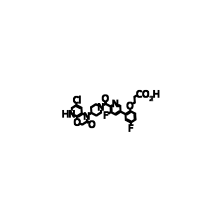 O=C(O)CCOc1ccc(F)cc1-c1cnc(C(=O)N2CCC(N3C(=O)COC4=C3C=C(Cl)CN4)CC2)c(F)c1